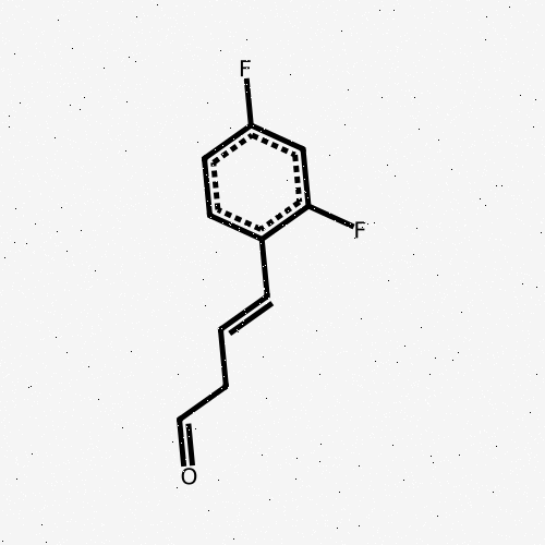 O=CCC=Cc1ccc(F)cc1F